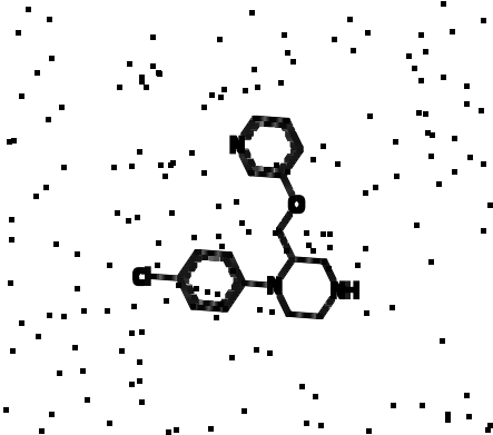 Clc1ccc(N2CCNCC2COc2cccnc2)cc1